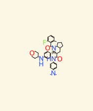 Cc1cccc(F)c1C(=O)N1C2CCCC2CC(C(=O)Nc2ccc(N(C)C)cc2)[C@@H]1c1ccc(NC2CCOCC2)cc1